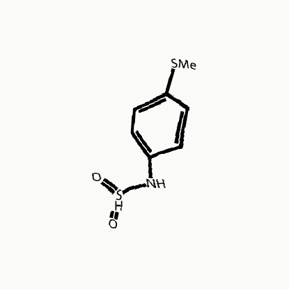 CSc1ccc(N[SH](=O)=O)cc1